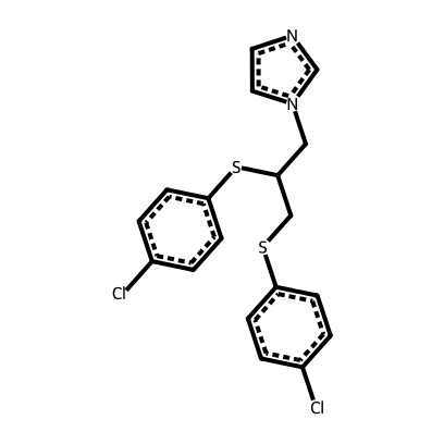 Clc1ccc(SCC(Cn2ccnc2)Sc2ccc(Cl)cc2)cc1